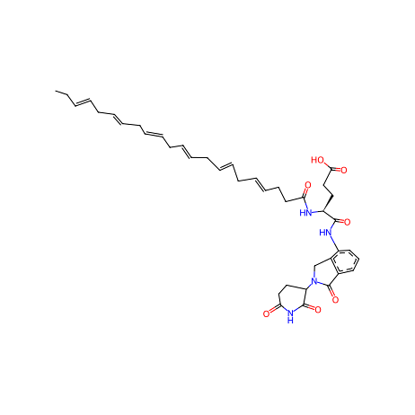 CCC=CCC=CCC=CCC=CCC=CCC=CCCC(=O)N[C@@H](CCC(=O)O)C(=O)Nc1cccc2c1CN(C1CCC(=O)NC1=O)C2=O